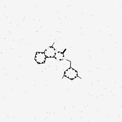 Nc1nc2ccccc2c2nn(Cc3cc(F)cc(Cl)c3)c(=O)n12